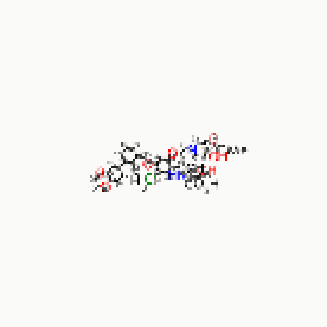 COC(=O)C1(O)CCN(CCOc2cc(OCc3cccc(-c4ccc5c(c4)OCCO5)c3C)c(Cl)cc2CNC(C)(CO)C(=O)O)CC1